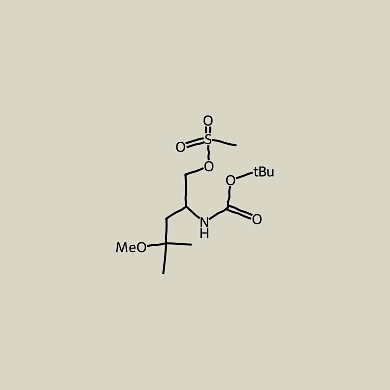 COC(C)(C)CC(COS(C)(=O)=O)NC(=O)OC(C)(C)C